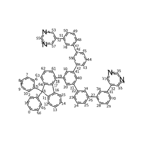 c1ccc(C2(c3ccccc3)c3ccccc3-c3c(-c4cc(-c5cccc(-c6cccc(-c7cncnc7)c6)c5)cc(-c5cccc(-c6cccc(-c7cncnc7)c6)c5)c4)cccc32)cc1